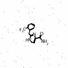 NC(=O)C1=CCNC(Cc2ccccc2C(F)(F)F)=N1